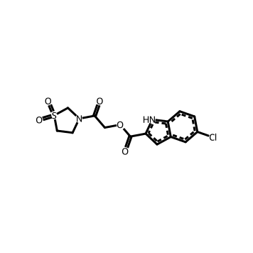 O=C(OCC(=O)N1CCS(=O)(=O)C1)c1cc2cc(Cl)ccc2[nH]1